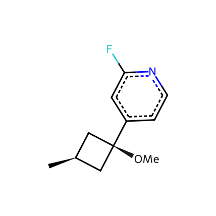 CO[C@]1(c2ccnc(F)c2)C[C@H](C)C1